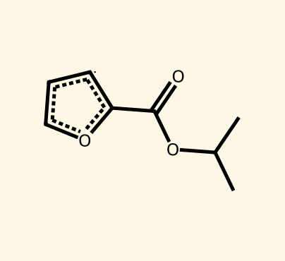 CC(C)OC(=O)c1[c]cco1